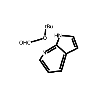 CC(C)(C)OC=O.c1cnc2[nH]ccc2c1